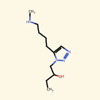 CCC(O)Cn1nncc1CCCCNC